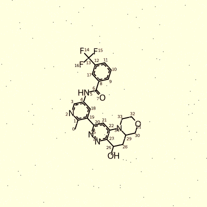 Cc1ncc(NC(=O)c2cccc(C(F)(F)F)c2)cc1-c1cc2c(nn1)C(O)CC1COCCN21